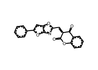 O=C1Oc2ccccc2C(=O)/C1=C/c1nc2oc(-c3ccccc3)cc2o1